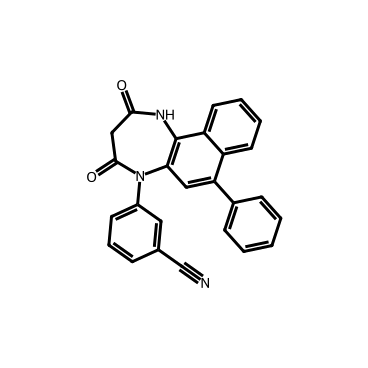 N#Cc1cccc(N2C(=O)CC(=O)Nc3c2cc(-c2ccccc2)c2ccccc32)c1